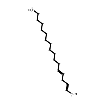 CCCCCCCCC=CCC=CCCCCCCCCCCCC(=O)O